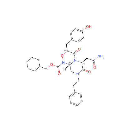 NC(=O)C[C@H]1C(=O)N(CCc2ccccc2)C[C@@H]2N(C(=O)OCC3CCCCC3)O[C@@H](Cc3ccc(O)cc3)C(=O)N21